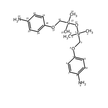 C[Si](C)(COc1ccc(N)cc1)O[Si](C)(C)COc1ccc(N)cc1